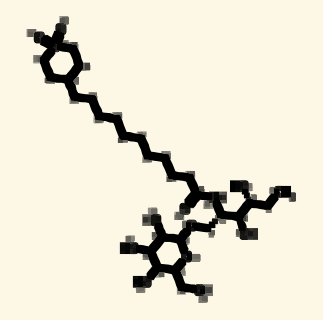 CC[C@@H](O)[C@@H](O)[C@H](COC1OC(CO)C(O)C(O)C1O)NC(=O)CCCCCCCCCCC1CCS(=O)(=O)CC1